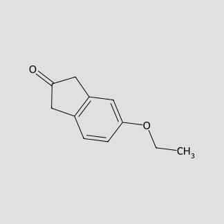 CCOc1ccc2c(c1)CC(=O)C2